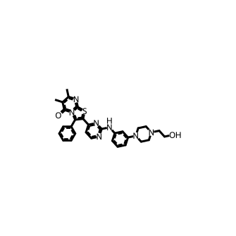 Cc1nc2sc(-c3ccnc(Nc4cccc(N5CCN(CCO)CC5)c4)n3)c(-c3ccccc3)n2c(=O)c1C